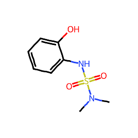 CN(C)S(=O)(=O)Nc1ccccc1O